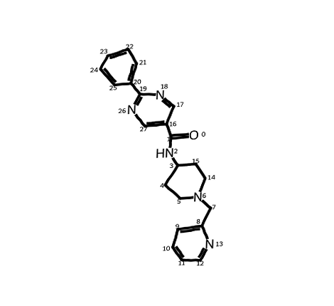 O=C(NC1CCN(Cc2ccccn2)CC1)c1cnc(-c2ccccc2)nc1